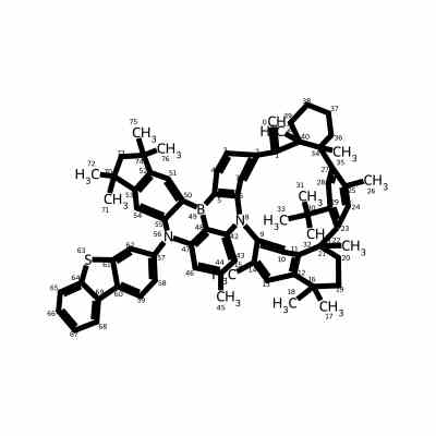 C=C1c2ccc3c(c2)N(c2cc4c(cc2C)C(C)(C)CCC4(C)c2cc(C)c(cc2C(C)(C)C)C2(C)CCCCC12C)c1cc(C)cc2c1B3c1cc3c(cc1N2c1ccc2c(c1)sc1ccccc12)C(C)(C)CC3(C)C